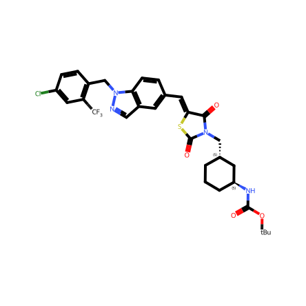 CC(C)(C)OC(=O)N[C@H]1CCC[C@H](CN2C(=O)SC(=Cc3ccc4c(cnn4Cc4ccc(Cl)cc4C(F)(F)F)c3)C2=O)C1